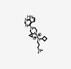 CN(C)CCCN(C1CCC1)S(=O)(=O)N1CCN(c2ncnc3[nH]ccc23)CC12CC2